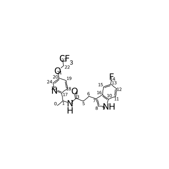 CC(NC(=O)CCc1c[nH]c2ccc(F)cc12)c1ccc(OCC(F)(F)F)cn1